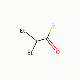 CCC(CC)C(=O)[S]